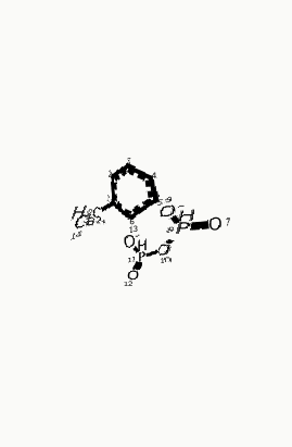 Cc1ccccc1.O=[PH]([O-])O[PH](=O)[O-].[Ca+2]